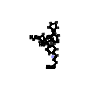 COC/C=C/c1ccc(C(O)(c2cncc(N3CCCC3)c2)C2(C)CN(C)C2)cc1